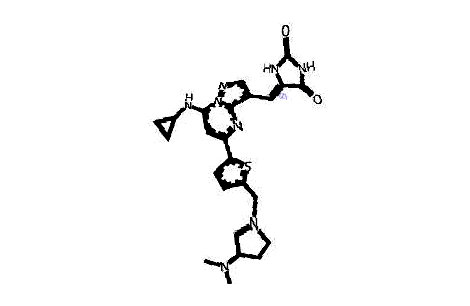 CN(C)C1CCN(Cc2ccc(-c3cc(NC4CC4)n4ncc(/C=C5\NC(=O)NC5=O)c4n3)s2)C1